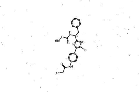 CC(=O)CC(=O)Nc1ccc(-c2nc([C@H](Cc3ccccc3)NC(=O)OC(C)(C)C)[nH]c2Cl)cc1